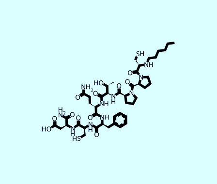 CCCCCCN[C@@H](CS)C(=O)N1CCC[C@H]1C(=O)N1CCC[C@H]1C(=O)N[C@H](C(=O)N[C@@H](CCC(N)=O)C(=O)N[C@@H](Cc1ccccc1)C(=O)N[C@@H](CS)C(=O)N[C@@H](CC(=O)O)C(N)=O)[C@@H](C)O